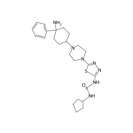 NC1(c2ccccc2)CCC(N2CCN(c3nnc(NC(=O)NC4CCCC4)s3)CC2)CC1